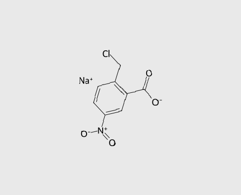 O=C([O-])c1cc([N+](=O)[O-])ccc1CCl.[Na+]